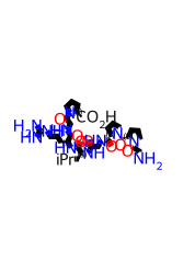 CC(C)C[C@H](NC(=O)CNC(=O)[C@@H]1CCCN1C(=O)[C@@H]1CCCN1C(=O)CN)C(=O)N[C@@H](CCCNC(=N)N)C(=O)NCC(=O)N1CCC[C@H]1C(=O)O